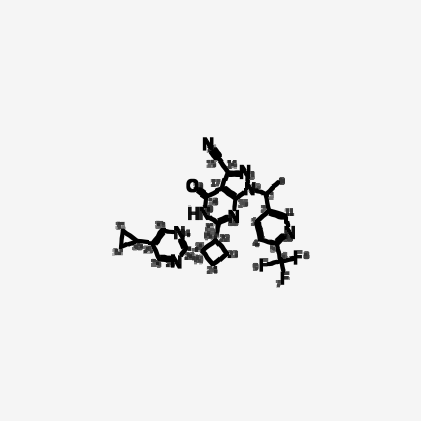 CC(c1ccc(C(F)(F)F)nc1)n1nc(C#N)c2c(=O)[nH]c([C@H]3CC[C@@H]3c3ncc(C4CC4)cn3)nc21